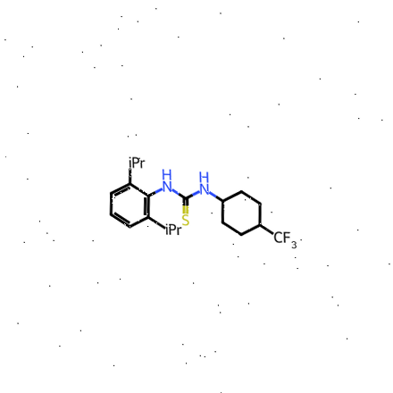 CC(C)c1cccc(C(C)C)c1NC(=S)NC1CCC(C(F)(F)F)CC1